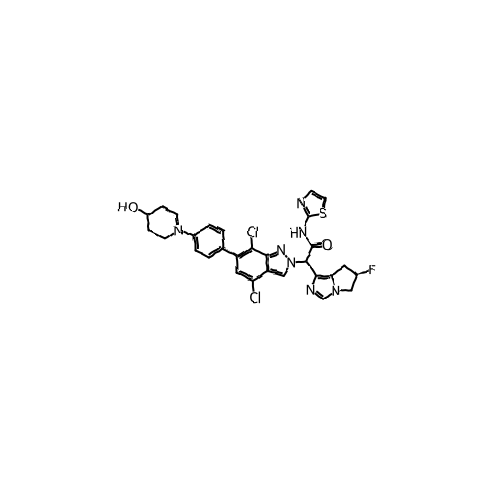 O=C(Nc1nccs1)C(c1ncn2c1C[C@@H](F)C2)n1cc2c(Cl)cc(-c3ccc(N4CCC(O)CC4)cc3)c(Cl)c2n1